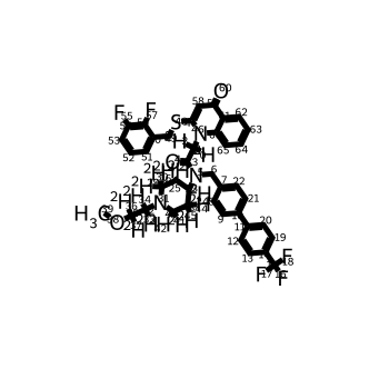 [2H]C([2H])(C(=O)N(Cc1ccc(-c2ccc(C(F)(F)F)cc2)cc1)C1([2H])C([2H])([2H])C([2H])([2H])N(C([2H])([2H])C([2H])([2H])OC)C([2H])([2H])C1([2H])[2H])n1c(SCc2cccc(F)c2F)cc(=O)c2ccccc21